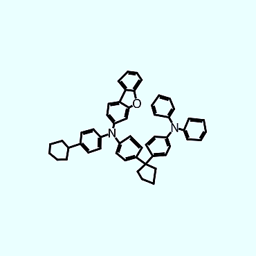 c1ccc(N(c2ccccc2)c2ccc(C3(c4ccc(N(c5ccc(C6CCCCC6)cc5)c5ccc6c(c5)oc5ccccc56)cc4)CCCC3)cc2)cc1